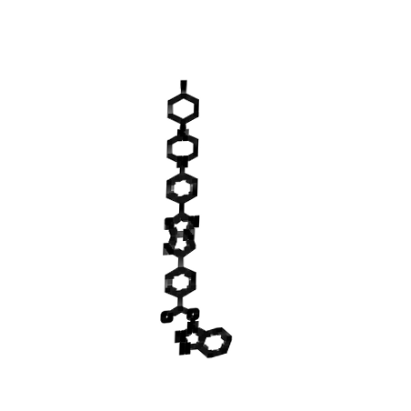 C[C@H]1CC[C@@H](N2CCN(c3ccc(-c4nn5cc(-c6ccc(C(=O)On7nnc8ccccc87)cc6)nc5s4)cc3)CC2)CC1